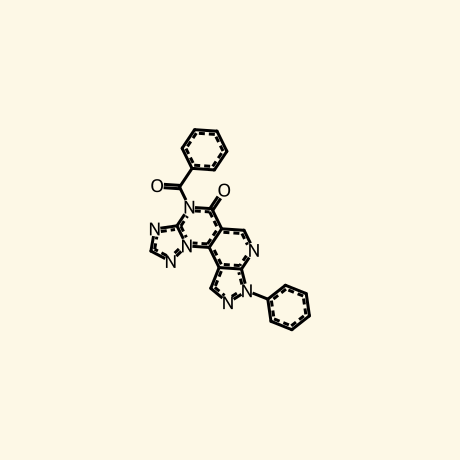 O=C(c1ccccc1)n1c(=O)c2cnc3c(cnn3-c3ccccc3)c2n2ncnc12